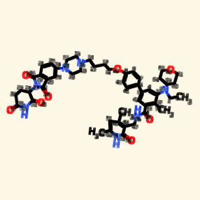 CCN(c1cc(-c2ccc(OCCCCN3CCN(c4ccc5c(c4)C(=O)N(C4CCC(=O)NC4=O)C5=O)CC3)cc2)cc(C(=O)NCc2c(C)cc(C)[nH]c2=O)c1C)C1CCOCC1